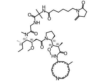 C=C1CCC(=O)N1CCCCCC(=O)NC(C)(C)C(=O)NCC(=O)N(C)[C@@H]([C@@H](C)CC)[C@@H](CC(=O)N1CCC[C@H]1[C@H](OC)[C@@H](C)C(=O)Nc1cccncccc(C)c1)OC